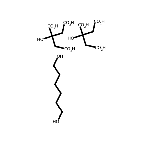 O=C(O)CC(O)(CC(=O)O)C(=O)O.O=C(O)CC(O)(CC(=O)O)C(=O)O.OCCCCCCO